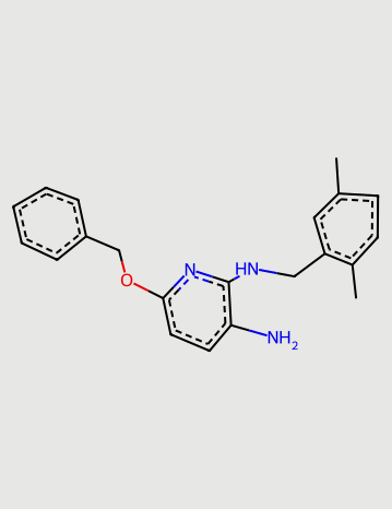 Cc1ccc(C)c(CNc2nc(OCc3ccccc3)ccc2N)c1